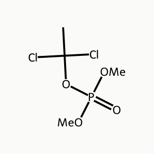 COP(=O)(OC)OC(C)(Cl)Cl